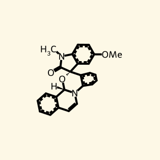 COc1ccc2c(c1)[C@]1(O[C@H]3c4ccccc4C=CN3c3ccccc31)C(=O)N2C